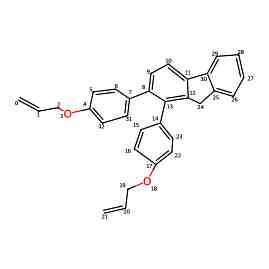 C=CCOc1ccc(-c2ccc3c(c2-c2ccc(OCC=C)cc2)Cc2ccccc2-3)cc1